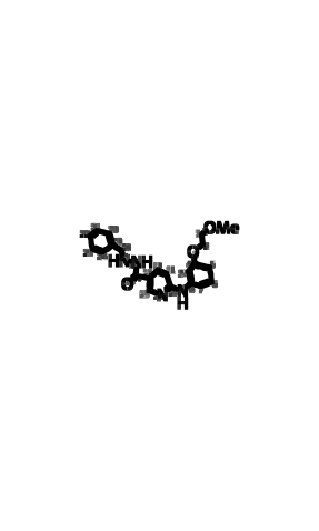 COCCOc1cccc(Nc2ccc(C(=O)NNCc3ccccc3)cn2)c1